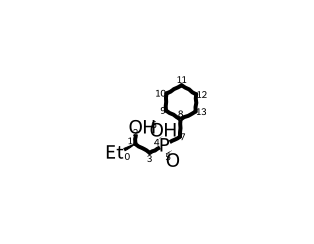 CC[C@@H](O)CP(=O)(O)CC1CCCCC1